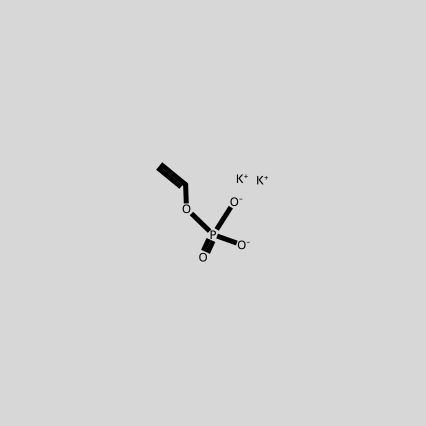 C=COP(=O)([O-])[O-].[K+].[K+]